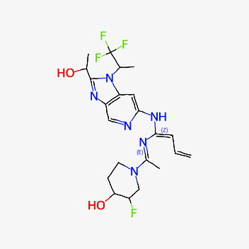 C=C/C=C(\N=C(/C)N1CCC(O)C(F)C1)Nc1cc2c(cn1)nc(C(C)O)n2C(C)C(F)(F)F